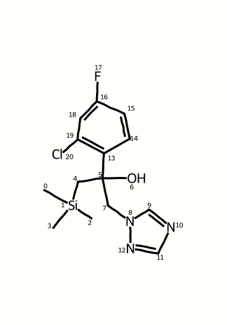 C[Si](C)(C)CC(O)(Cn1cncn1)c1ccc(F)cc1Cl